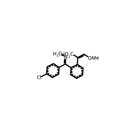 CN=C(c1ccc(Cl)cc1)c1ccccc1/C(=C\OC)C(=O)O